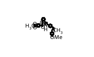 COc1ccc(CN(C)Cc2ccc(C3=CC4c5ccccc5OC(C(=O)c5ccc(S(C)(=O)=O)cc5)N4N3)cc2)cc1